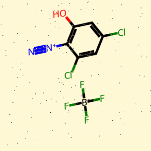 F[B-](F)(F)F.N#[N+]c1c(O)cc(Cl)cc1Cl